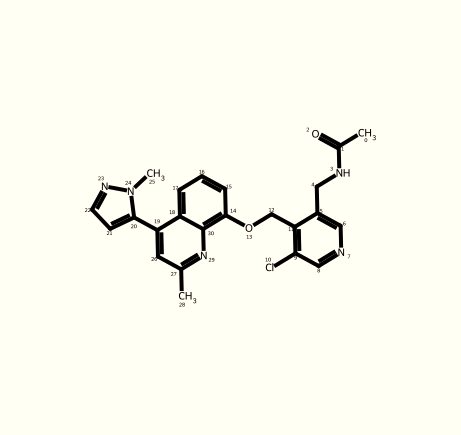 CC(=O)NCc1cncc(Cl)c1COc1cccc2c(-c3ccnn3C)cc(C)nc12